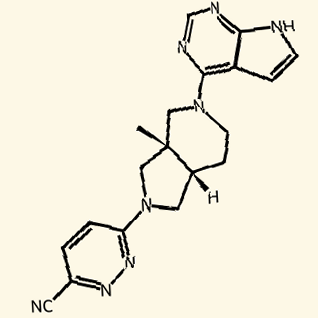 C[C@]12CN(c3ccc(C#N)nn3)C[C@H]1CCN(c1ncnc3[nH]ccc13)C2